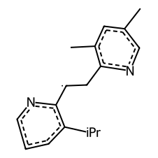 Cc1cnc(C[CH]c2ncccc2C(C)C)c(C)c1